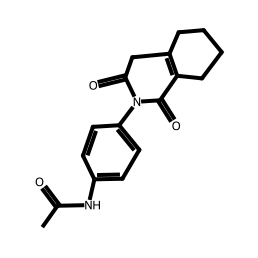 CC(=O)Nc1ccc(N2C(=O)CC3=C(CCCC3)C2=O)cc1